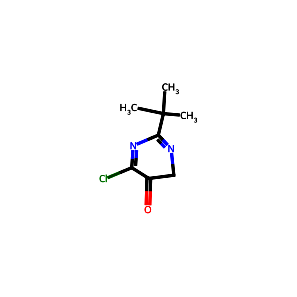 CC(C)(C)C1=NCC(=O)C(Cl)=N1